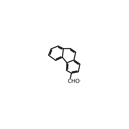 O=[C]c1ccc2ccc3ccccc3c2c1